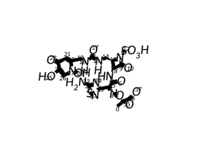 CC1(O/N=C(\C(=O)N[C@@H]2C(=O)N(S(=O)(=O)O)[C@@H]2CNC(=O)NCc2cc(=O)c(O)cn2O)c2nsc(N)n2)OC1=O